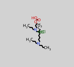 CCCCN(CCCC)CCCCCC(CC)CN(CCCC)CCCOC(=O)O.Cl.Cl